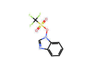 O=S(=O)(On1cnc2ccccc21)C(F)(F)F